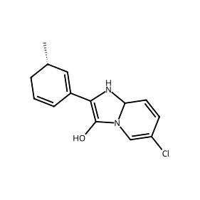 C[C@@H]1C=C(C2=C(O)N3C=C(Cl)C=CC3N2)C=CC1